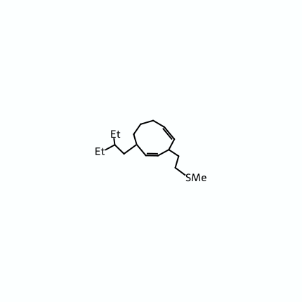 CCC(CC)CC1C=CC(CCSC)/C=C\CCC1